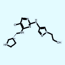 OCCn1cc(Nc2ncc(Cl)c(NC[C@@H]3CCNC3)n2)cn1